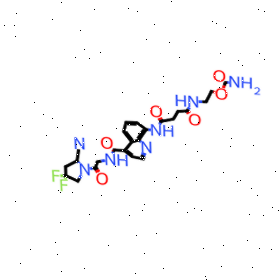 N#CC1CC(F)(F)CN1C(=O)CNC(=O)c1ccnc2c(NC(=O)CCC(=O)NCCOC(N)=O)cccc12